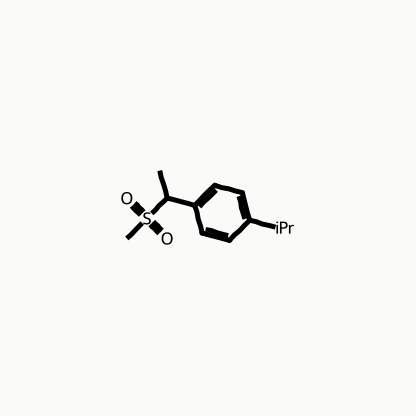 CC(C)c1ccc(C(C)S(C)(=O)=O)cc1